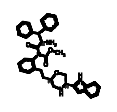 COC(=O)N(C(=O)[C@@H](N)C(c1ccccc1)c1ccccc1)c1ccccc1CC[C@@H]1CN[C@H](c2cc3ccccc3[nH]2)CO1